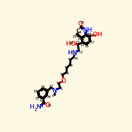 CN(CCOCCCCCCNCC(O)c1ccc(O)c2[nH]c(=O)ccc12)Cc1cccc(C(N)=O)c1